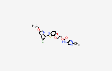 CCOc1cnc2c(-c3nc4ccc5c(c4s3)OC[C@H](COC(=O)Nc3cnc(C)nc3)O5)cc(Cl)cc2c1